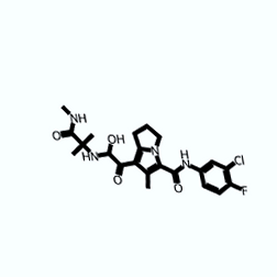 CNC(=O)C(C)(C)NC(O)C(=O)c1c(C)c(C(=O)Nc2ccc(F)c(Cl)c2)n2c1CCC2